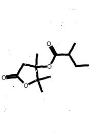 CCC(C)C(=O)OC1(C)CC(=O)OC1(C)C